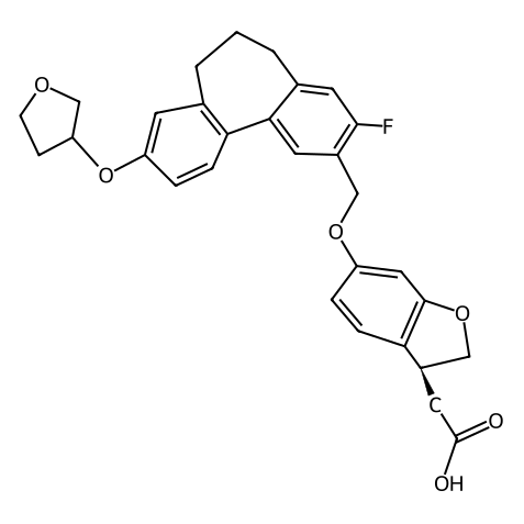 O=C(O)C[C@@H]1COc2cc(OCc3cc4c(cc3F)CCCc3cc(OC5CCOC5)ccc3-4)ccc21